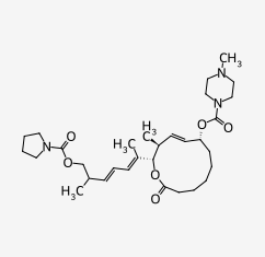 C/C(=C\C=C\C(C)COC(=O)N1CCCC1)[C@H]1OC(=O)CCCCC[C@@H](OC(=O)N2CCN(C)CC2)/C=C/[C@@H]1C